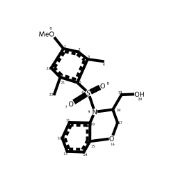 COc1cc(C)c(S(=O)(=O)N2c3ccccc3OCC2CO)c(C)c1